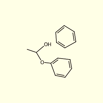 CC(O)Oc1ccccc1.c1ccccc1